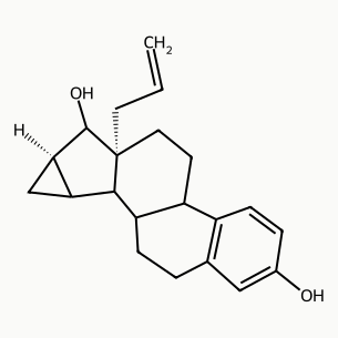 C=CC[C@]12CCC3c4ccc(O)cc4CCC3C1C1C[C@H]1C2O